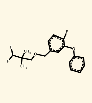 CC(C)(COCc1ccc(F)c(Oc2ccccc2)c1)C(F)F